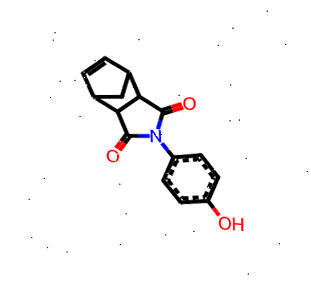 O=C1C2C3C=CC(C3)C2C(=O)N1c1ccc(O)cc1